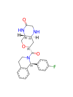 O=C1CN[C@H]2C[C@H](C(=O)N3CCc4ccccc4[C@@H]3c3ccc(F)cc3)OC[C@@H]2N1